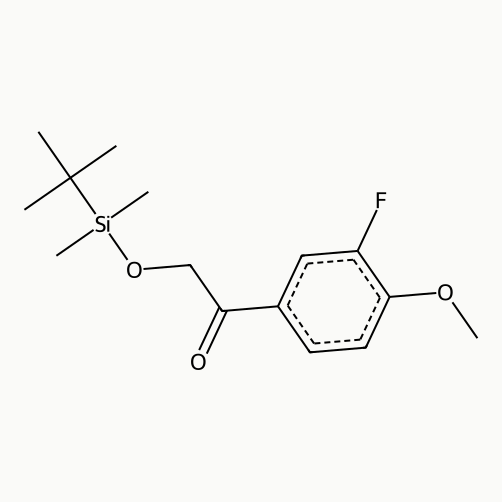 COc1ccc(C(=O)CO[Si](C)(C)C(C)(C)C)cc1F